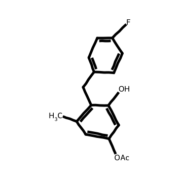 CC(=O)Oc1cc(C)c(Cc2ccc(F)cc2)c(O)c1